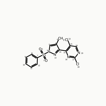 Cc1cn(S(=O)(=O)c2ccccc2)nc1-c1nc(Cl)ncc1Cl